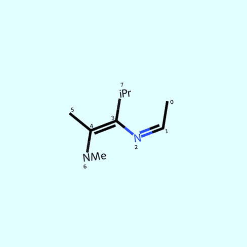 C/C=N\C(=C(\C)NC)C(C)C